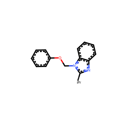 CC(C)c1nc2ccccc2n1COc1cc[c]cc1